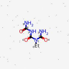 CCN(C(N)=O)C(=O)NC(N)=O